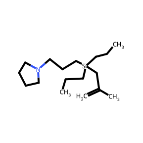 C=C(C)C[Si](CCC)(CCC)CCCN1CCCC1